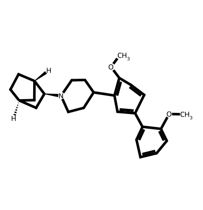 COc1ccccc1-c1ccc(OC)c(C2CCN([C@H]3C[C@H]4CC[C@H]3C4)CC2)c1